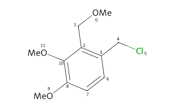 COCc1c(CCl)ccc(OC)c1OC